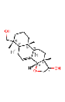 C[C@@]1(CO)CCC[C@]2(C)[C@H]3CC[C@@]4(C)[C@H](OC[C@@H]4O)C3=CC[C@@H]12